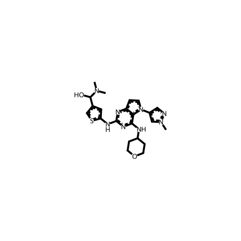 CN(C)C(O)c1csc(Nc2nc(NC3CCOCC3)c3c(ccn3-c3cnn(C)c3)n2)c1